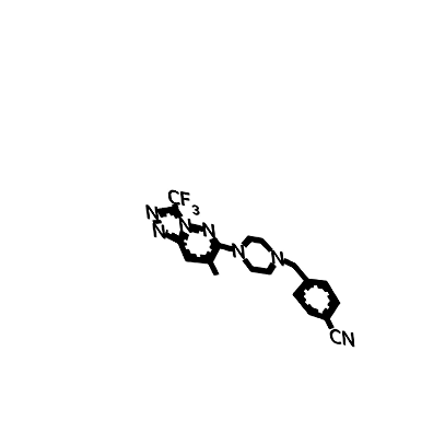 Cc1cc2nnc(C(F)(F)F)n2nc1N1CCN(Cc2ccc(C#N)cc2)CC1